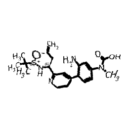 C=CC[C@H](N[S@@+]([O-])C(C)(C)C)c1cc(-c2ccc(N(C)C(=O)O)cc2N)ccn1